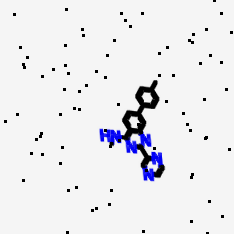 CNc1nc(-c2cnccn2)nc2cc(-c3ccc(C)cc3)ccc12